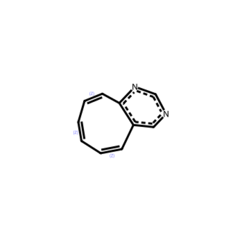 C1=C\C=C/c2ncncc2\C=C/1